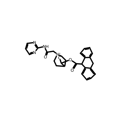 O=C(C[N+]12CCC(CC1)C(OC(=O)C1c3ccccc3Cc3ccccc31)C2)Nc1ncccn1